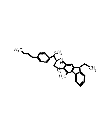 CCCCc1ccc(C(C)C2CNc3c(cc4c(c3C)-c3ccccc3C4CC)N2)cc1